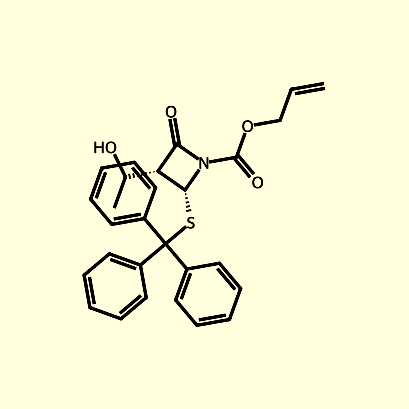 C=CCOC(=O)N1C(=O)[C@@H](C(C)O)[C@H]1SC(c1ccccc1)(c1ccccc1)c1ccccc1